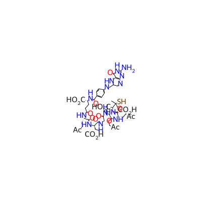 CC(=O)CC[C@H](NC(=O)CC[C@@H](NC(=O)c1ccc(NCc2cnc3nc(N)[nH]c(=O)c3n2)cc1)C(=O)O)C(=O)N[C@H](CCC(=O)O)C(=O)N[C@@H](CCC(C)=O)C(=O)N[C@H](CCC(=O)O)C(=O)N[C@@H](CCC(C)=O)C(=O)N[C@@H](C(=O)O)C(C)(C)S